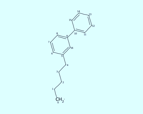 [CH2]CCCCc1cccc(-c2ccccc2)c1